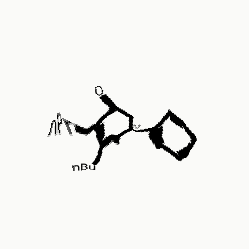 CCCCC1=C(CCC)C(=O)C[C@@H](c2ccccc2)C1